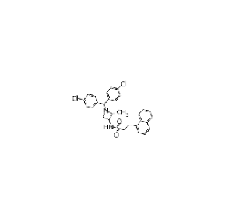 C[C@@H]1[C@@H](NS(=O)(=O)CCc2cccc3ccccc23)CN1C(c1ccc(Cl)cc1)c1ccc(Cl)cc1